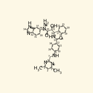 Cc1cc(C)nc(CNc2ccc(C(=O)NC(c3ccccc3)C(O)C(=O)N(N)c3ccc4nc[nH]c4c3)cc2)n1